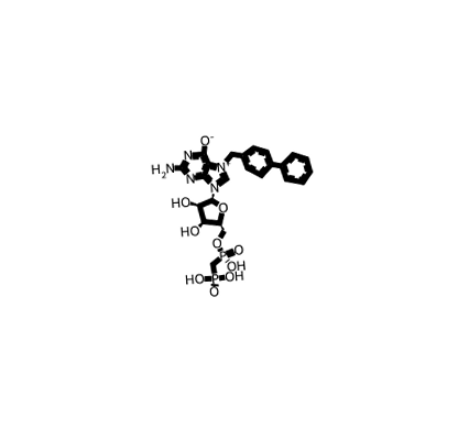 Nc1nc([O-])c2c(n1)n([C@@H]1O[C@H](COP(=O)(O)CP(=O)(O)O)[C@@H](O)[C@H]1O)c[n+]2Cc1ccc(-c2ccccc2)cc1